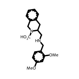 COc1ccc(CNCC2Cc3ccccc3CN2C(=O)O)c(OC)c1